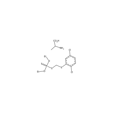 CC(N)C(=O)O.CCOP(=S)(OCC)SCSc1cc(Cl)ccc1Cl